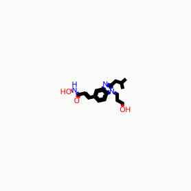 CC(C)Cc1nc2cc(C=CC(=O)NO)ccc2n1CCCO